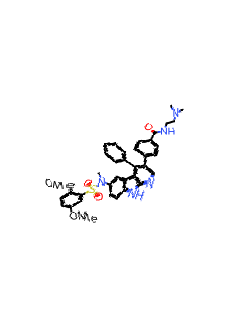 COc1ccc(OC)c(S(=O)(=O)N(C)c2ccc3[nH]c4ncc(-c5ccc(C(=O)NCCN(C)C)cc5)c(-c5ccccc5)c4c3c2)c1